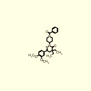 CCC1(CC)CC(c2ccc(OC)c(OC)c2)=NN(C2CCN(C(=O)c3ccccc3)CC2)C1=O